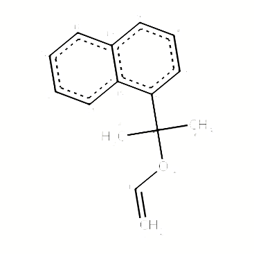 C=COC(C)(C)c1cccc2ccccc12